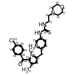 Cc1cc(Cc2ccc(NC(=S)NCCN3CCOCC3)cn2)n(C)c1C(=O)c1ccc(Cl)cc1